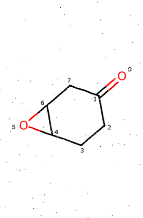 O=C1CCC2OC2C1